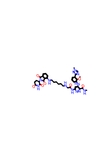 CNC(=O)c1nnc(NC(=O)CNCCCCCCNc2cccc3c2C(=O)N(C2CCC(=O)NC2=O)C3=O)cc1Nc1cccc(-c2ncn(C)n2)c1OC